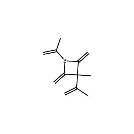 C=C(C)B1C(=C)C(C)(C(=C)C)C1=C